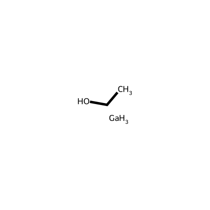 CCO.[GaH3]